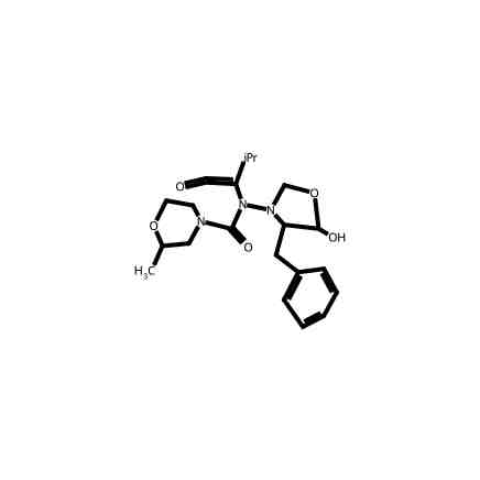 CC1CN(C(=O)N(C(=C=O)C(C)C)N2COC(O)C2Cc2ccccc2)CCO1